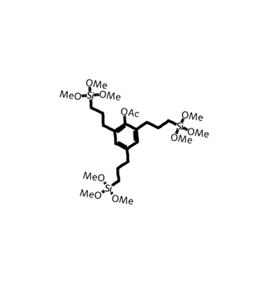 CO[Si](CCCc1cc(CCC[Si](OC)(OC)OC)c(OC(C)=O)c(CCC[Si](OC)(OC)OC)c1)(OC)OC